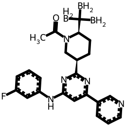 BC(B)(B)[C@H]1CC[C@@H](c2nc(Nc3cccc(F)c3)cc(-c3cccnc3)n2)CN1C(C)=O